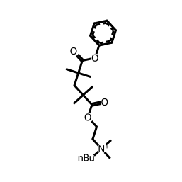 CCCC[N+](C)(C)CCOC(=O)C(C)(C)CC(C)(C)C(=O)Oc1ccccc1